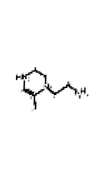 CC1=CNCCN1CCN